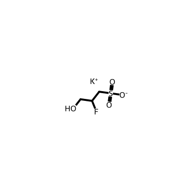 O=S(=O)([O-])CC(F)CO.[K+]